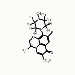 [2H]C1([2H])N(C)C([2H])([2H])C([2H])([2H])N(c2c(F)cc3c(=O)c(C(=O)O)cn4c3c2OC[C@@H]4C)C1([2H])[2H]